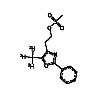 [2H]C([2H])([2H])c1oc(-c2ccccc2)nc1CCOS(C)(=O)=O